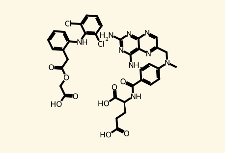 CN(Cc1cnc2nc(N)nc(N)c2n1)c1ccc(C(=O)N[C@@H](CCC(=O)O)C(=O)O)cc1.O=C(O)COC(=O)Cc1ccccc1Nc1c(Cl)cccc1Cl